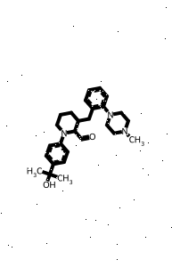 CN1CCN(c2ccccc2CC2CCCN(c3ccc(C(C)(C)O)cc3)C2C=O)CC1